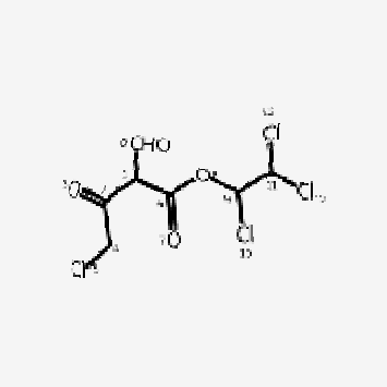 O=CC(C(=O)CCl)C(=O)OC(Cl)C(Cl)Cl